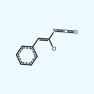 O=C=NC(Cl)=Cc1ccccc1